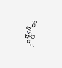 Cc1ccc(-c2nnc(/C=C/c3nnc(-c4ccnc(O)c4)o3)n2-c2ccccc2Cl)cc1